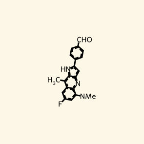 CNc1cc(F)cc2c(C)c3[nH]c(-c4ccc(C=O)cc4)cc3nc12